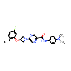 Cc1ccc(F)cc1OC1CN(c2cnc(C(=O)Nc3ccc(N(C)C)cc3)cn2)C1